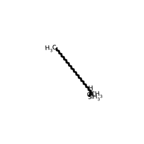 CCCCCCCCCCCCCCCCCCCCCCCCCCCCCC[SiH](C)O[SiH3]